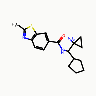 Cc1nc2ccc(C(=O)NC(C3CCCC3)C3(N)CC3)cc2s1